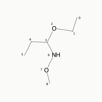 CCOC(CC)NOC